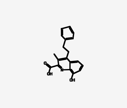 Cc1c(C(=O)O)nc2c(O)cccc2c1CCc1ccccc1